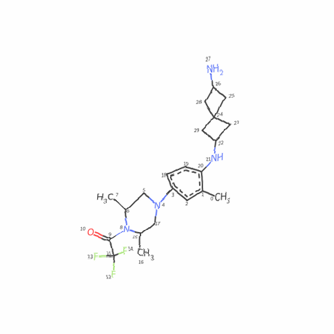 Cc1cc(N2CC(C)N(C(=O)C(F)(F)F)C(C)C2)ccc1NC1CC2(CC(N)C2)C1